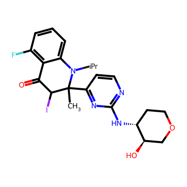 CC(C)N1c2cccc(F)c2C(=O)C(I)C1(C)c1ccnc(N[C@@H]2CCOC[C@H]2O)n1